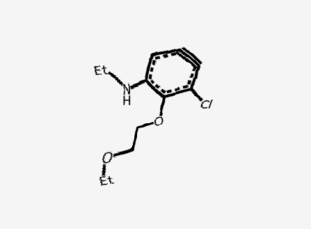 CCNc1cc#cc(Cl)c1OCCOCC